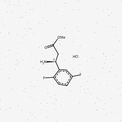 COC(=O)C[C@H](N)c1cc(F)ccc1F.Cl